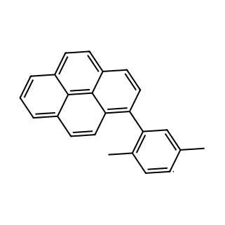 Cc1[c]cc(C)c(-c2ccc3ccc4cccc5ccc2c3c45)c1